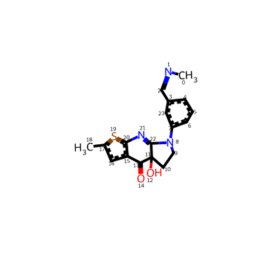 C/N=C\c1cccc(N2CCC3(O)C(=O)c4cc(C)sc4N=C23)c1